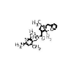 Cc1cc(N)nc(C)c1CNC(=O)c1cc(C)n(Cc2ccco2)c1C